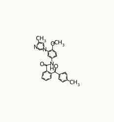 COc1ccc(NC(=O)c2ccccc2C(=O)c2ccc(C)cc2)cc1-n1cnc(C)c1